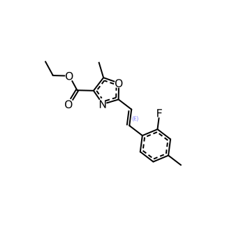 CCOC(=O)c1nc(/C=C/c2ccc(C)cc2F)oc1C